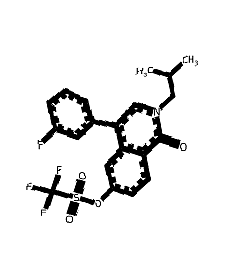 CC(C)Cn1[c]c(-c2cccc(F)c2)c2cc(OS(=O)(=O)C(F)(F)F)ccc2c1=O